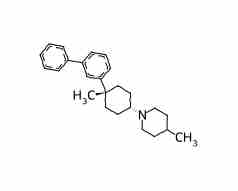 CC1CCN([C@H]2CC[C@@](C)(c3cccc(-c4ccccc4)c3)CC2)CC1